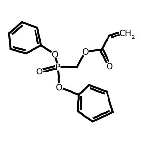 C=CC(=O)OCP(=O)(Oc1ccccc1)Oc1ccccc1